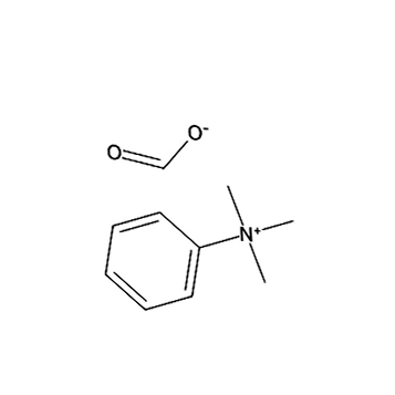 C[N+](C)(C)c1ccccc1.O=C[O-]